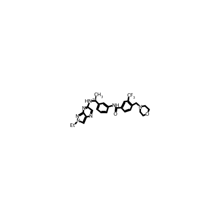 CCn1cc2ncc(N[C@@H](C)c3cccc(NC(=O)c4ccc(CN5CCOCC5)c(C(F)(F)F)c4)c3)nc2n1